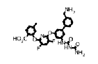 Cc1ccc(C(=O)O)c(Oc2nc(Oc3cc(NC(=O)NC(N)=O)cc(-c4cccc(CN)c4)c3)c(F)cc2F)c1